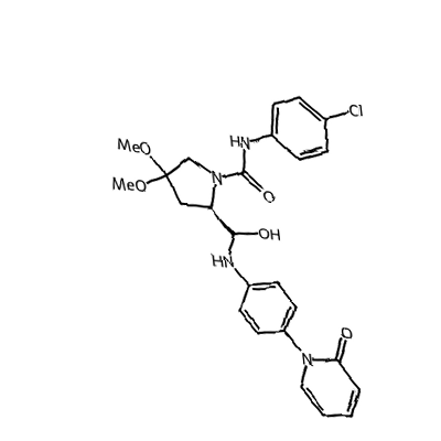 COC1(OC)C[C@H](C(O)Nc2ccc(-n3ccccc3=O)cc2)N(C(=O)Nc2ccc(Cl)cc2)C1